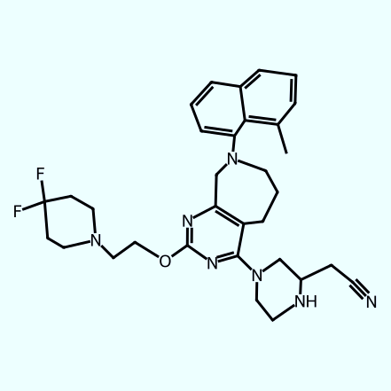 Cc1cccc2cccc(N3CCCc4c(nc(OCCN5CCC(F)(F)CC5)nc4N4CCNC(CC#N)C4)C3)c12